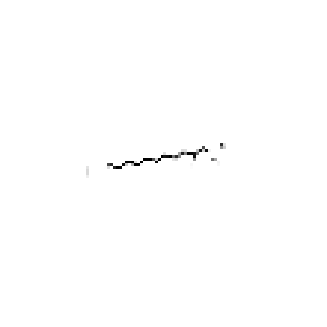 CCCCCCCCCCC(O)C[S+]([O-])CO